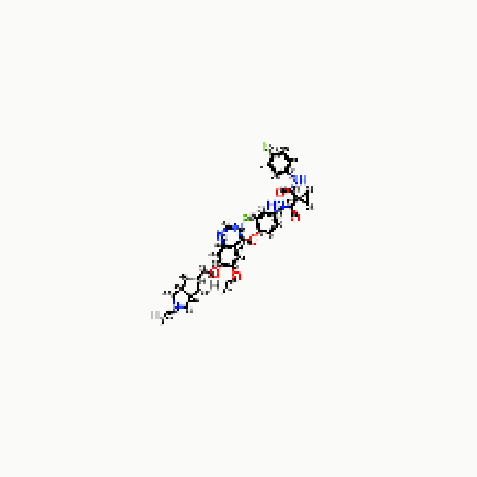 COc1cc2c(Oc3ccc(NC(=O)C4(C(=O)Nc5ccc(F)cc5)CC4)cc3F)ncnc2cc1OCC1CC2CN(C)CC2C1